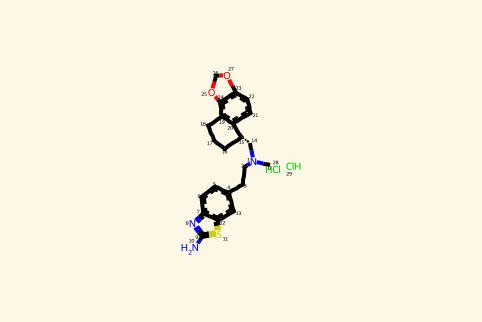 CN(CCc1ccc2nc(N)sc2c1)C[C@@H]1CCCc2c1ccc1c2OCO1.Cl.Cl